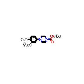 CCCCOC(=O)N1CCN(c2ccc([N+](=O)[O-])c(OC)c2)CC1